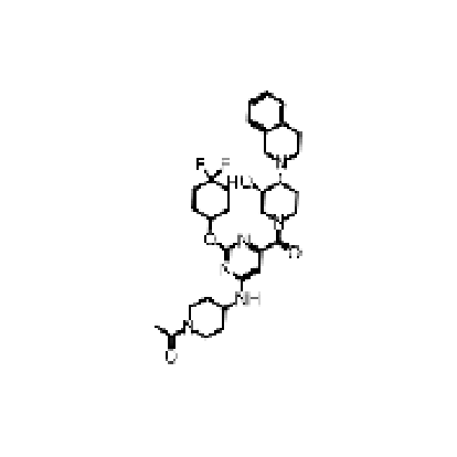 CC(=O)N1CCC(Nc2cc(C(=O)N3CC[C@@H](N4CCc5ccccc5C4)[C@H](O)C3)nc(OC3CCC(F)(F)CC3)n2)CC1